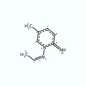 C/C=N\n1cc(C)ccc1=N